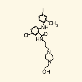 Cc1cc(I)ccc1Nc1ccc(Cl)cc1C(=O)NCCCN1CCN(CCO)CC1